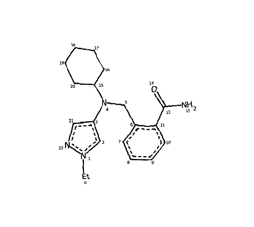 CCn1cc(N(Cc2ccccc2C(N)=O)C2CCCCC2)cn1